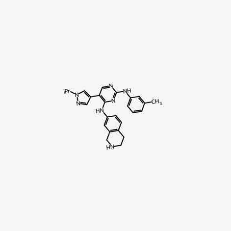 Cc1cccc(Nc2ncc(-c3cnn(C(C)C)c3)c(Nc3ccc4c(c3)CNCC4)n2)c1